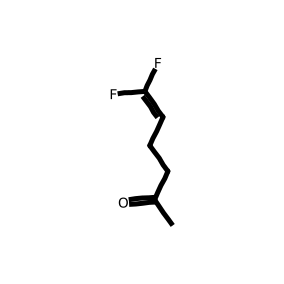 CC(=O)CCC=C(F)F